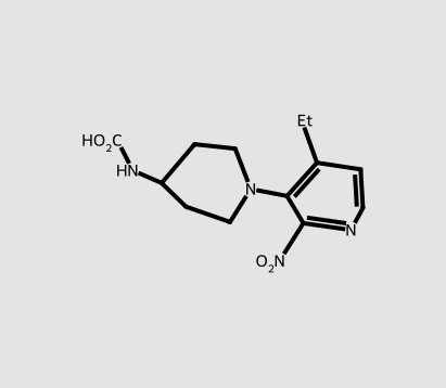 CCc1ccnc([N+](=O)[O-])c1N1CCC(NC(=O)O)CC1